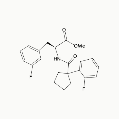 COC(=O)[C@H](Cc1cccc(F)c1)NC(=O)C1(c2ccccc2F)CCCC1